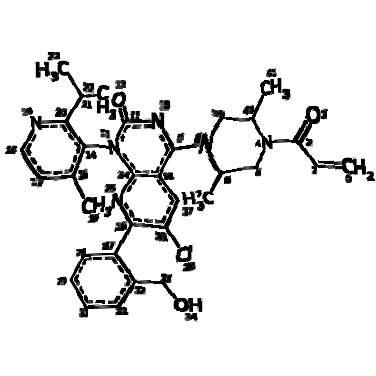 C=CC(=O)N1CC(C)N(c2nc(=O)n(-c3c(C)ccnc3C(C)C)c3nc(-c4ccccc4CO)c(Cl)cc23)CC1C